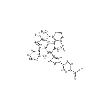 CCc1cccc(CC)c1-n1c(C=C(C)C)c(C(=O)N2CCNC[C@H]2C)cc(-c2nc(-c3ccc(C(F)F)cc3)cs2)c1=O